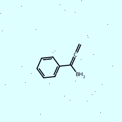 BC(=C=C)c1ccccc1